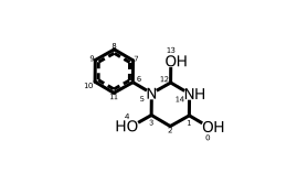 OC1CC(O)N(c2ccccc2)C(O)N1